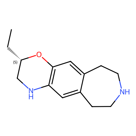 CC[C@H]1CNc2cc3c(cc2O1)CCNCC3